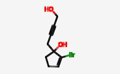 OCC#CCC1(O)CCC=C1Br